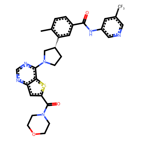 Cc1ccc(C(=O)Nc2cncc(C(F)(F)F)c2)cc1[C@@H]1CCN(c2ncnc3cc(C(=O)N4CCOCC4)sc23)C1